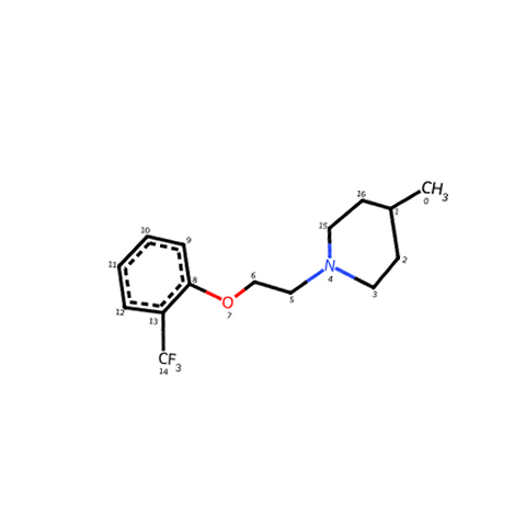 CC1CCN(CCOc2ccccc2C(F)(F)F)CC1